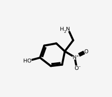 NCC1([N+](=O)[O-])C=CC(O)=CC1